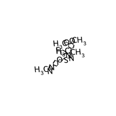 COc1ccc(C(C)(C)c2cnc(SCCOc3ccc(-n4cnc(C)c4)cc3)n2-c2ccc(F)cc2)cc1OC